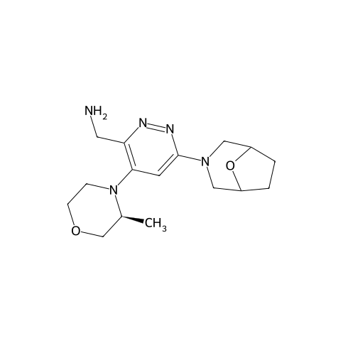 C[C@H]1COCCN1c1cc(N2CC3CCC(C2)O3)nnc1CN